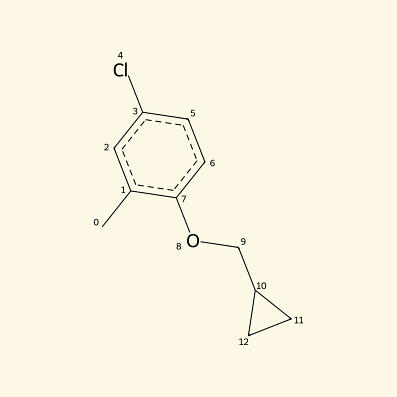 Cc1cc(Cl)ccc1OCC1CC1